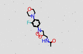 CC(=O)NCC1CN(c2ccc(N3CCOCC3)c(F)c2)OO1